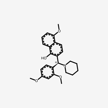 COc1ccc([C@@H](c2ccc3c(OC)cccc3c2O)N2CCCCC2)c(OC)c1